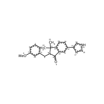 COc1cccc(CN2C(=O)c3cc(-c4c[nH]nn4)ccc3C2(C)C)c1